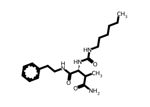 CCCCCCNC(=O)N[C@@H](C(=O)NCCc1ccccc1)C(C)C(N)=O